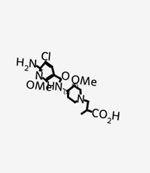 COc1nc(N)c(Cl)cc1C(=O)N[C@H]1CCN(CC(C)C(=O)O)C[C@H]1OC